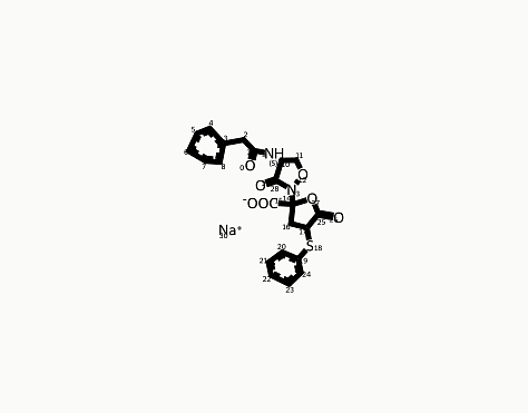 O=C(Cc1ccccc1)N[C@H]1CON(C2(C(=O)[O-])CC(Sc3ccccc3)C(=O)O2)C1=O.[Na+]